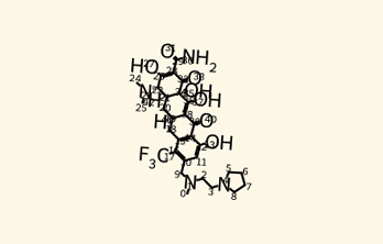 CN(CCN1CCCC1)Cc1cc(O)c2c(c1C(F)(F)F)C[C@H]1C[C@H]3[C@H](N(C)C)C(O)=C(C(N)=O)C(=O)[C@@]3(O)C(O)=C1C2=O